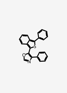 c1ccc(-c2ncoc2-c2sc(-c3ccccc3)c3ccccc23)cc1